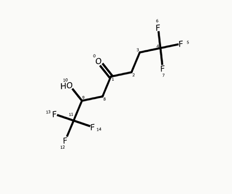 O=C(CCC(F)(F)F)CC(O)C(F)(F)F